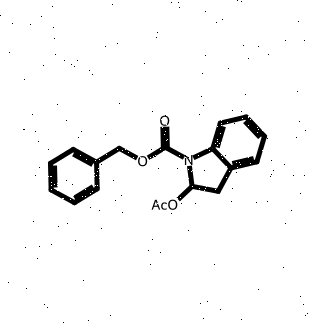 CC(=O)OC1Cc2ccccc2N1C(=O)OCc1ccccc1